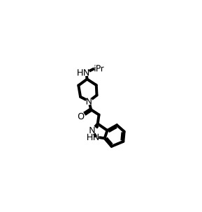 CC(C)NC1CCN(C(=O)Cc2n[nH]c3ccccc23)CC1